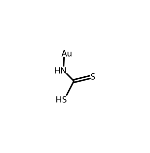 S=C(S)[NH][Au]